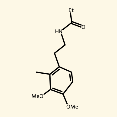 CCC(=O)NCCc1ccc(OC)c(OC)c1C